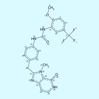 COc1ccc(C(F)(F)F)cc1NC(=O)Nc1ccc(Cc2nc3cc[nH]c(=O)c3n2C)cc1